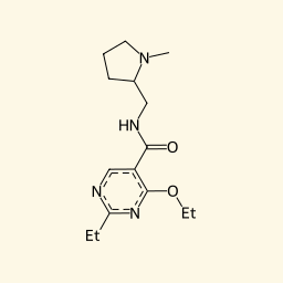 CCOc1nc(CC)ncc1C(=O)NCC1CCCN1C